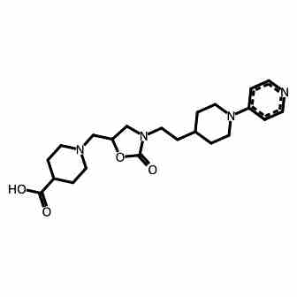 O=C(O)C1CCN(CC2CN(CCC3CCN(c4ccncc4)CC3)C(=O)O2)CC1